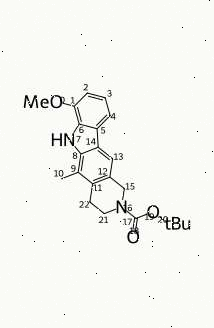 COc1cccc2c1[nH]c1c(C)c3c(cc12)CN(C(=O)OC(C)(C)C)CC3